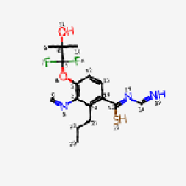 C=Nc1c(OC(F)(F)C(C)(C)O)ccc(/C(S)=N/C=N)c1CCC